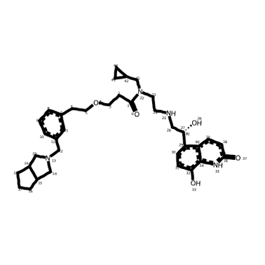 O=C(CCOCCc1cccc(CN2CC3CCCC3C2)c1)N(CCNC[C@H](O)c1ccc(O)c2[nH]c(=O)ccc12)CC1CC1